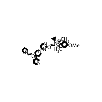 COc1cc(C)c(S(=O)(=O)N(CCOc2nccc(N3CCC(OCCN4CCCC4)(c4cccnc4)CC3)n2)C2CC2)c(C)c1